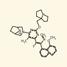 C=N/C(=C(/F)c1nc(OCC23CCCN2CCC3)nc(N2CC3CCC(C2)N3)c1C)c1cccc2cccc(OC)c12